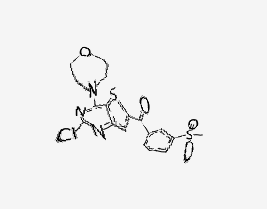 CS(=O)(=O)c1cccc(C(=O)c2cc3nc(Cl)nc(N4CCOCC4)c3s2)c1